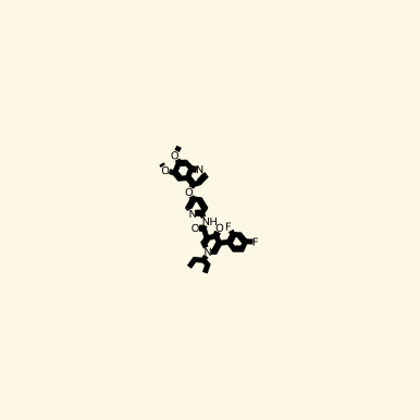 CCC(CC)n1cc(C(=O)Nc2ccc(Oc3ccnc4cc(OC)c(OC)cc34)cn2)c(=O)c(-c2ccc(F)cc2F)c1